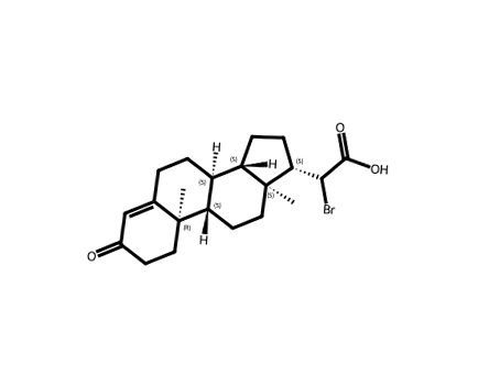 C[C@]12CC[C@H]3[C@@H](CCC4=CC(=O)CC[C@@]43C)[C@@H]1CC[C@@H]2C(Br)C(=O)O